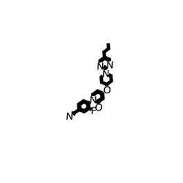 CCCc1cnc(N2CCC(Oc3ccn(-c4ccc(C#N)cc4F)c(=O)c3)CC2)nc1